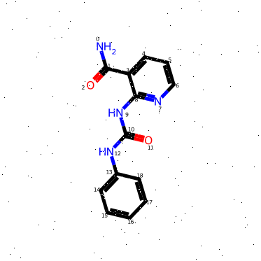 NC(=O)c1c[c]cnc1NC(=O)Nc1ccccc1